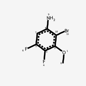 COc1c(F)c(F)cc(N)c1Br